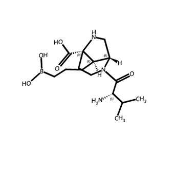 CC(C)[C@H](N)C(=O)N1CC[C@@]2(C(=O)O)NC[C@H]1[C@H]2CCCB(O)O